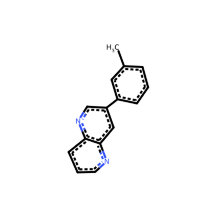 Cc1cccc(-c2cnc3cccnc3c2)c1